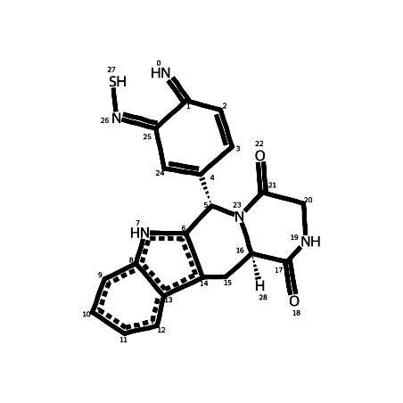 N=C1C=CC([C@H]2c3[nH]c4ccccc4c3C[C@@H]3C(=O)NCC(=O)N32)=C/C1=N/S